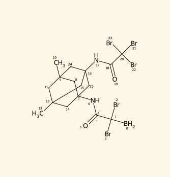 BC(Br)(Br)C(=O)NC12CC3(C)CC(C)(C1)CC(NC(=O)C(Br)(Br)Br)(C3)C2